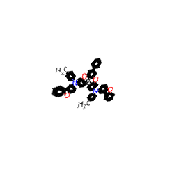 Cc1ccc(N(c2ccc3c(c2)Oc2cc(-c4ccccc4)cc4c2B3c2ccc(N(c3ccc(C)cc3)c3ccc5oc6ccccc6c5c3)cc2O4)c2ccc3oc4ccccc4c3c2)cc1